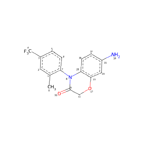 Cc1cc(C(F)(F)F)ccc1N1C(=O)COc2cc(N)ccc21